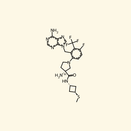 CS[C@H]1C[C@H](NC(=O)[C@@]2(N)CCN(c3ccc(F)c(C(F)(F)F)c3Cn3cnc4c(N)ncnc43)C2)C1